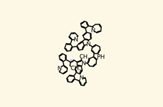 CC/C(=C\c1c(C)n(C2=Cc3c([pH]c4c3=CC(n3c5ccc(-c6ccccc6C6=NC=CC=CC6)cc5c5cc(-c6ccccc6-c6ccccn6)ccc53)=CCC=4)C=CC2)c2ccc(-c3ccccc3-c3ccccn3)cc12)c1ccccc1-c1ccccn1